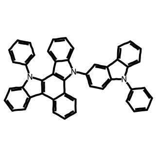 c1ccc(-n2c3ccccc3c3cc(-n4c5ccccc5c5c4c4ccccc4c4c6ccccc6n(-c6ccccc6)c45)ccc32)cc1